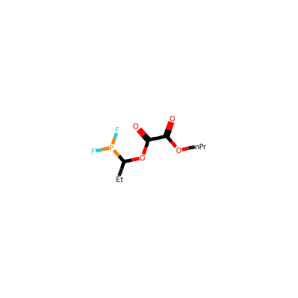 CCCOC(=O)C(=O)OC(CC)P(F)F